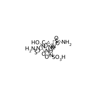 NCCS(=O)(=O)Cc1cnn(C[C@H]2[C@H](NC(=O)C(=NOC3(C(=O)O)CC3)c3csc(N)n3)C(=O)N2S(=O)(=O)O)n1